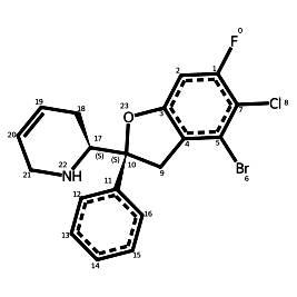 Fc1cc2c(c(Br)c1Cl)C[C@](c1ccccc1)([C@@H]1CC=CCN1)O2